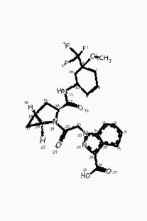 COC1(C(F)(F)F)CCCC(NC(=O)[C@@H]2C[C@H]3C[C@H]3N2C(=O)Cn2nc(C(=O)O)c3ccccc32)C1